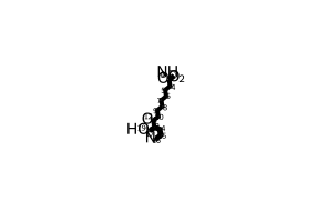 NOC(=O)CCCCCCCC(=O)c1cccnc1O